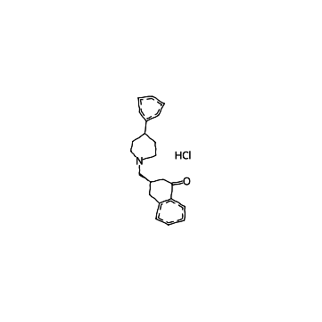 Cl.O=C1C[C@H](CN2CCC(c3ccccc3)CC2)Cc2ccccc21